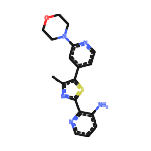 Cc1nc(-c2ncccc2N)sc1-c1ccnc(N2CCOCC2)c1